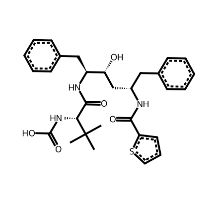 CC(C)(C)[C@H](NC(=O)O)C(=O)N[C@@H](Cc1ccccc1)[C@H](O)C[C@H](Cc1ccccc1)NC(=O)c1cccs1